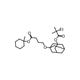 CCC(C)(C)C(=O)OC12CC3CC(CC(OCCCC(=O)OC4(C)CCCCC4)(C3)C1)C2